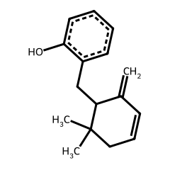 C=C1C=CCC(C)(C)C1Cc1ccccc1O